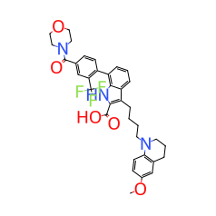 COc1ccc2c(c1)CCCN2CCCCc1c(C(=O)O)[nH]c2c(-c3ccc(C(=O)N4CCOCC4)cc3C(F)(F)F)cccc12